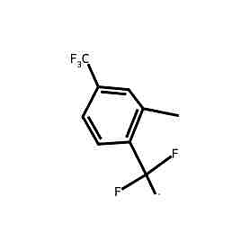 [CH2]C(F)(F)c1ccc(C(F)(F)F)cc1C